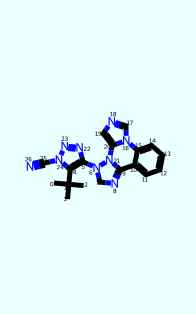 CC(C)(C)c1c(N2CN=C3c4ccccc4-n4cncc4N32)nnn1C#N